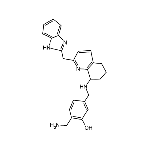 NCc1ccc(CNC2CCCc3ccc(Cc4nc5ccccc5[nH]4)nc32)cc1O